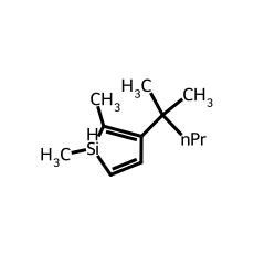 CCCC(C)(C)C1=C(C)[SiH](C)C=C1